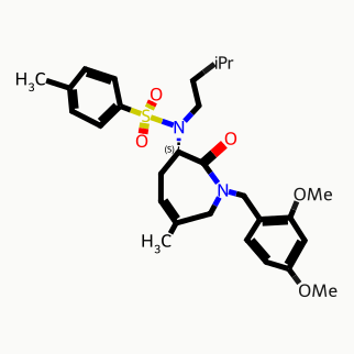 COc1ccc(CN2CC(C)=CC[C@H](N(CCC(C)C)S(=O)(=O)c3ccc(C)cc3)C2=O)c(OC)c1